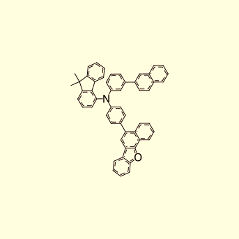 CC1(C)c2ccccc2-c2c(N(c3ccc(-c4cc5c6ccccc6oc5c5ccccc45)cc3)c3cccc(-c4ccc5ccccc5c4)c3)cccc21